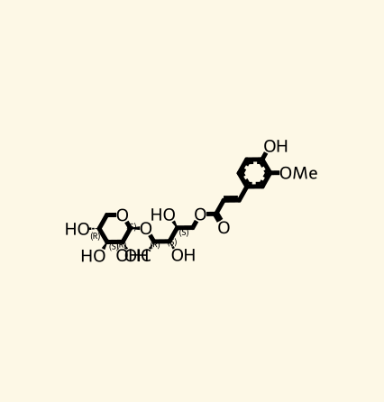 COc1cc(C=CC(=O)OC[C@H](O)[C@H](O)[C@H](C=O)O[C@@H]2OC[C@@H](O)[C@H](O)[C@H]2O)ccc1O